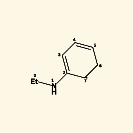 CCNC1=CC=CC[CH]1